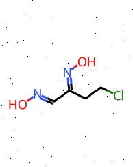 ON=CC(CCCl)=NO